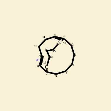 C1=C2CCCCCC(/C=C/CC1)CCCCC2